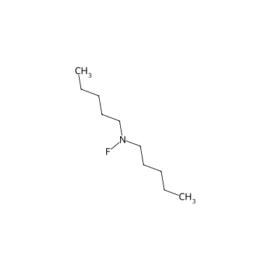 CCCCCN(F)CCCCC